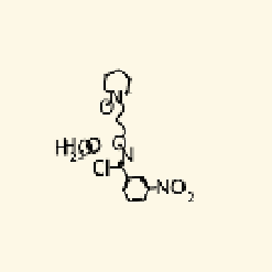 O.O.O=[N+]([O-])c1cccc(C(Cl)=NOCCC[N+]2([O-])CCCCC2)c1